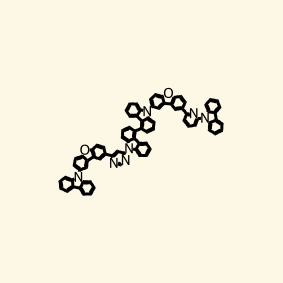 c1cc(-c2ccc3oc4ccc(-n5c6ccccc6c6c(-c7cccc8c7c7ccccc7n8-c7cc(-c8ccc9oc%10ccc(-n%11c%12ccccc%12c%12ccccc%12%11)cc%10c9c8)ncn7)cccc65)cc4c3c2)nc(-n2c3ccccc3c3ccccc32)c1